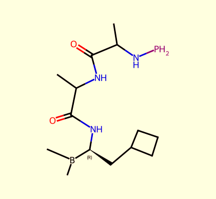 CB(C)[C@H](CC1CCC1)NC(=O)C(C)NC(=O)C(C)NP